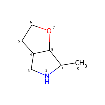 CC1NCC2CCOC21